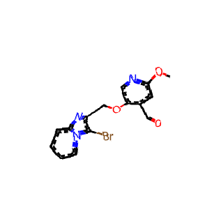 COc1cc(C=O)c(OCc2nc3ccccn3c2Br)cn1